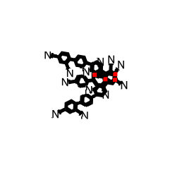 N#CC1=CC(c2c(-n3c4cc(-c5ccc(C#N)cc5C#N)ccc4c4ccc(-c5ccc(C#N)cc5C#N)cc43)cc(C#N)cc2-n2c3cc(-c4ccc(C#N)cc4C#N)ccc3c3ccc(-c4ccc(C#N)cc4C#N)cc32)=CC(C#N)C=C1